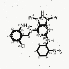 CC(C)N1NN(C(C)C)c2c(NCc3c(N)cccc3Cl)nc(NC3CCCCC3N)nc21